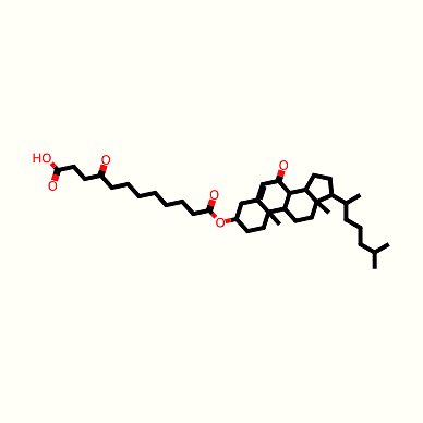 CC(C)CCCC(C)C1CCC2C3C(=O)C=C4CC(OC(=O)CCCCCCCC(=O)CCC(=O)O)CCC4(C)C3CCC12C